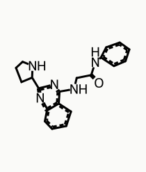 O=C(CNc1nc(C2CCCN2)nc2ccccc12)Nc1ccccc1